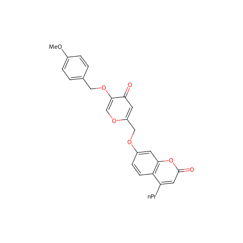 CCCc1cc(=O)oc2cc(OCc3cc(=O)c(OCc4ccc(OC)cc4)co3)ccc12